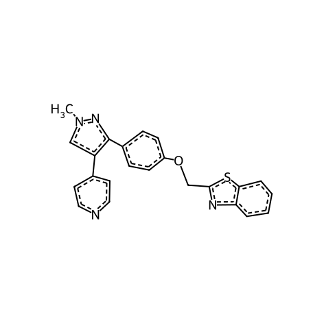 Cn1cc(-c2ccncc2)c(-c2ccc(OCc3nc4ccccc4s3)cc2)n1